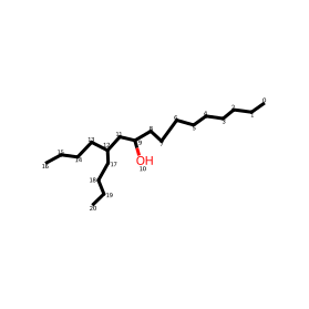 CCCCCCCCCC(O)CC(CCCC)CCCC